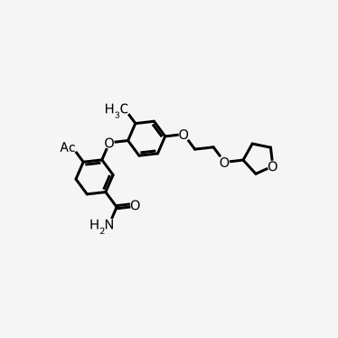 CC(=O)C1=C(OC2C=CC(OCCOC3CCOC3)=CC2C)C=C(C(N)=O)CC1